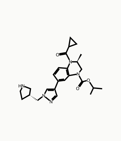 CC(C)OC(=O)N1C[C@H](C)N(C(=O)C2CC2)c2ccc(-c3cnn(C[C@@H]4CCNC4)c3)cc21